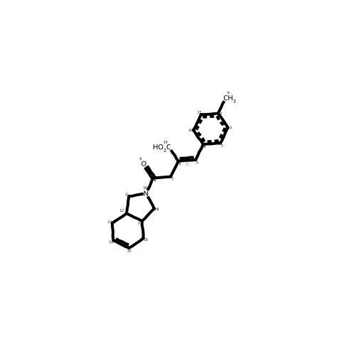 Cc1ccc(/C=C(/CC(=O)N2CC3CC=CCC3C2)C(=O)O)cc1